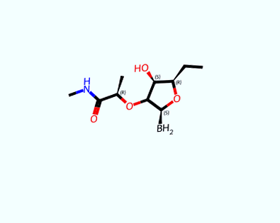 B[C@@H]1O[C@H](CC)[C@H](O)C1O[C@H](C)C(=O)NC